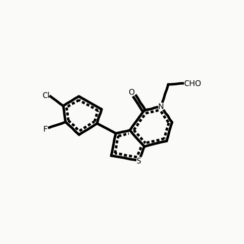 O=CCn1ccc2scc(-c3ccc(Cl)c(F)c3)c2c1=O